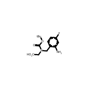 CC(C)(C)OC(=O)N(CC(=O)O)Cc1ccc(F)cc1N